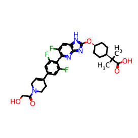 CC(C)(C(=O)O)[C@H]1CC[C@H](Oc2nc3nc(-c4c(F)cc(C5=CCN(C(=O)CO)CC5)cc4F)c(F)cc3[nH]2)CC1